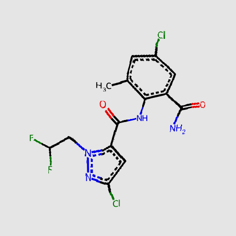 Cc1cc(Cl)cc(C(N)=O)c1NC(=O)c1cc(Cl)nn1CC(F)F